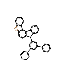 C1=CC(c2cc(-c3ccccc3)cc(C3c4ccccc4-c4c3ccc3sc5ccccc5c43)c2)=CCC1